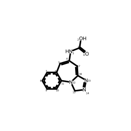 O=C(O)NC1=Cc2ccccc2N2CN=NC2=C1